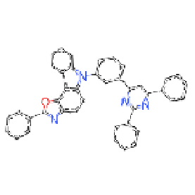 c1ccc(-c2cc(-c3cccc(-n4c5ccccc5c5c6oc(-c7ccccc7)nc6ccc54)c3)nc(-c3ccccc3)n2)cc1